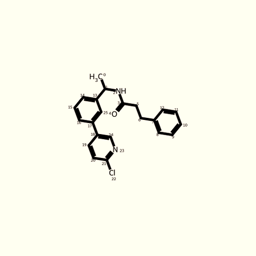 CC(NC(=O)CCc1ccccc1)c1cccc(-c2ccc(Cl)nc2)c1